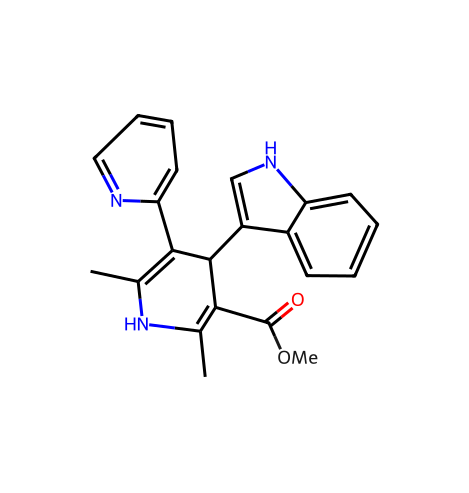 COC(=O)C1=C(C)NC(C)=C(c2ccccn2)C1c1c[nH]c2ccccc12